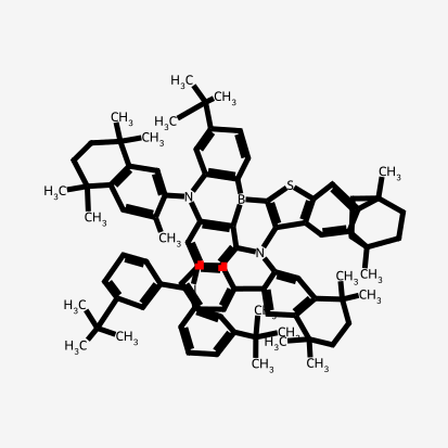 Cc1cc2c(cc1N1c3cc(C(C)(C)C)ccc3B3c4sc5cc6c(cc5c4N(c4cc5c(cc4-c4ccccc4)C(C)(C)CCC5(C)C)c4cc(N(c5cccc(C(C)(C)C)c5)c5cccc(C(C)(C)C)c5)cc1c43)C1(C)CCC6(C)CC1)C(C)(C)CCC2(C)C